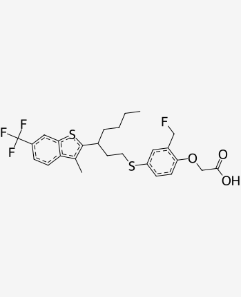 CCCCC(CCSc1ccc(OCC(=O)O)c(CF)c1)c1sc2cc(C(F)(F)F)ccc2c1C